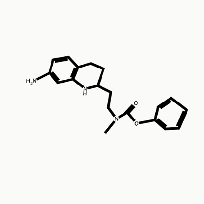 CN(CCC1CCc2ccc(N)cc2N1)C(=O)Oc1ccccc1